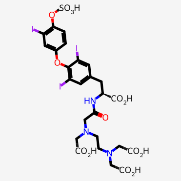 O=C(O)CN(CCN(CC(=O)O)CC(=O)N[C@@H](Cc1cc(I)c(Oc2ccc(OS(=O)(=O)O)c(I)c2)c(I)c1)C(=O)O)CC(=O)O